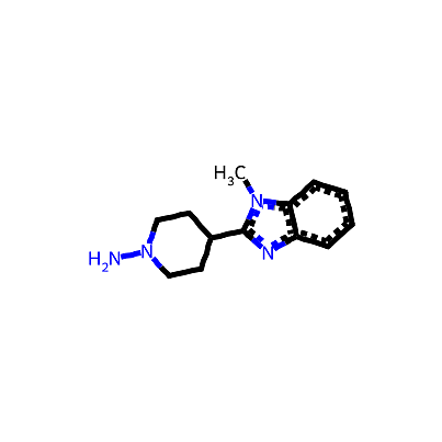 Cn1c(C2CCN(N)CC2)nc2ccccc21